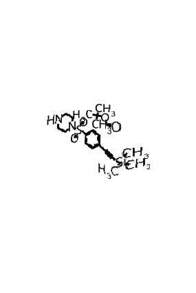 CC(C)(C)OC=O.C[Si](C)(C)C#Cc1ccc(S(=O)(=O)N2CCNCC2)cc1